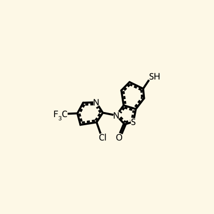 O=c1sc2cc(S)ccc2n1-c1ncc(C(F)(F)F)cc1Cl